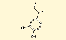 CCC(C)c1ccc(O)c(Cl)c1